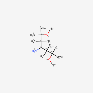 CCCOC([SiH3])(OC)C(C)(C)C(N)C(C)(C)C([SiH3])(OC)OCCC